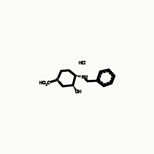 Cl.O=C(O)N1CC[C@H](NCc2ccccc2)[C@H](O)C1